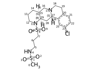 CS(=O)(=O)NCCCS(=O)(=O)N1CCC[C@H]2CN3CCc4ccc(Cl)cc4[C@@H]3C[C@H]21